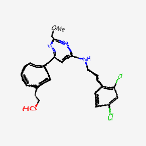 COc1nc(NCCc2ccc(Cl)cc2Cl)cc(-c2cccc(CO)c2)n1